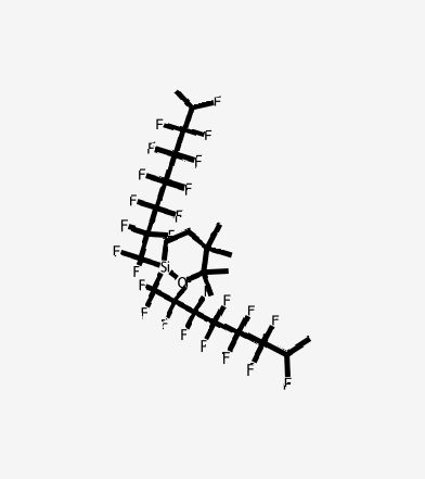 CC(F)C(F)(F)C(F)(F)C(F)(F)C(F)(F)C(F)(F)C(F)(F)[Si]1(C(F)(F)C(F)(F)C(F)(F)C(F)(F)C(F)(F)C(F)(F)C(C)F)CCC(C)(C)C(C)(C)O1